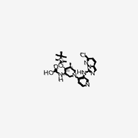 C[C@H]1CN(c2ccncc2Nc2ncc3ccc(Cl)nn23)C[C@@H](NC(=O)O)[C@H]1O[Si](C)(C)C(C)(C)C